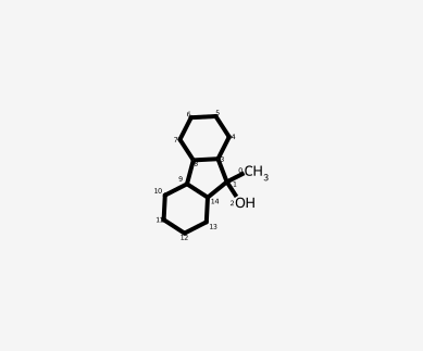 CC1(O)C2CCCCC2C2CCCCC21